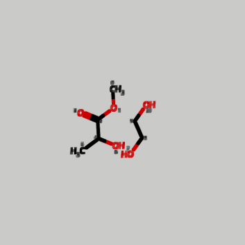 COC(=O)C(C)O.OCCO